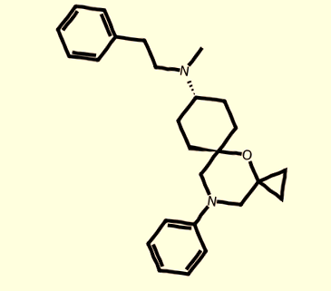 CN(CCc1ccccc1)[C@H]1CC[C@]2(CC1)CN(c1ccccc1)CC1(CC1)O2